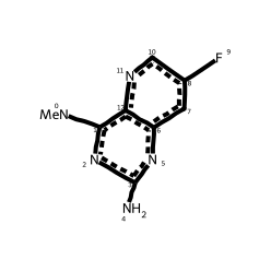 CNc1nc(N)nc2cc(F)cnc12